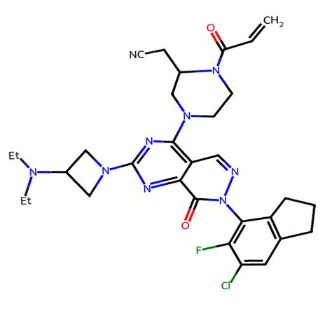 C=CC(=O)N1CCN(c2nc(N3CC(N(CC)CC)C3)nc3c(=O)n(-c4c(F)c(Cl)cc5c4CCC5)ncc23)CC1CC#N